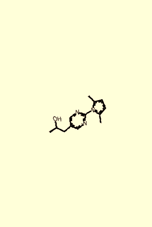 Cc1ccc(C)n1-c1ncc(CC(C)O)cn1